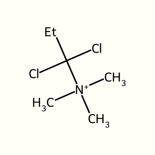 CCC(Cl)(Cl)[N+](C)(C)C